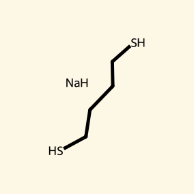 SCCCCS.[NaH]